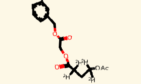 [2H]C([2H])(CC([2H])([2H])C(=O)OCC(=O)OCc1ccccc1)OC(C)=O